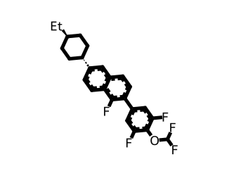 CC[C@H]1CC[C@H](c2ccc3c(F)c(-c4cc(F)c(OC(F)F)c(F)c4)ccc3c2)CC1